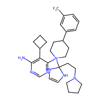 Nc1ncnc([N+]2(C3(CCN4CCCC4)NC=CN3)CCC(c3cccc(C(F)(F)F)c3)CC2)c1C1CCC1